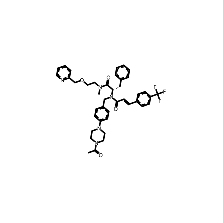 CC(=O)N1CCN(c2ccc(CN(C(=O)/C=C/c3ccc(C(F)(F)F)cc3)[C@@H](Cc3ccccc3)C(=O)N(C)CCOCc3ccccn3)cc2)CC1